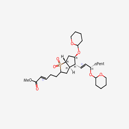 CCCCC[C@@H](/C=C/[C@@H]1[C@H]2CC(CC/C=C/C(=O)OC)S(=O)(=O)[C@@H]2C[C@H]1OC1CCCCO1)OC1CCCCO1